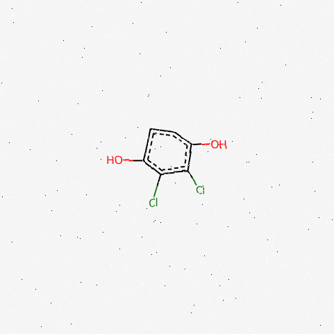 Oc1ccc(O)c(Cl)c1Cl